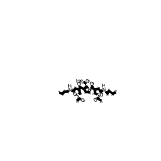 CCCCNC(=O)CC(CSC(C)=O)C(=O)C1CCN(C(=O)C(CSC(C)=O)CC(=O)NCCCC)[C@@H]1C(=O)O